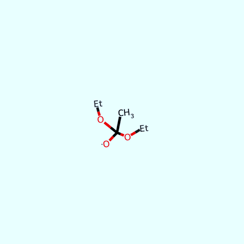 CCOC(C)([O])OCC